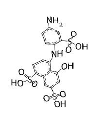 Nc1ccc(Nc2ccc(S(=O)(=O)O)c3cc(S(=O)(=O)O)cc(O)c23)c(S(=O)(=O)O)c1